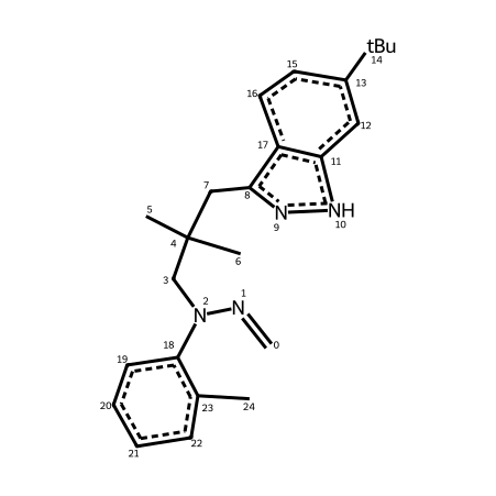 C=NN(CC(C)(C)Cc1n[nH]c2cc(C(C)(C)C)ccc12)c1ccccc1C